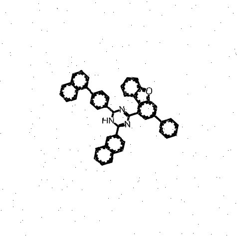 c1ccc(-c2cc(C3=NC(c4ccc(-c5cccc6ccccc56)cc4)NC(c4ccc5ccccc5c4)=N3)c3c(c2)oc2ccccc23)cc1